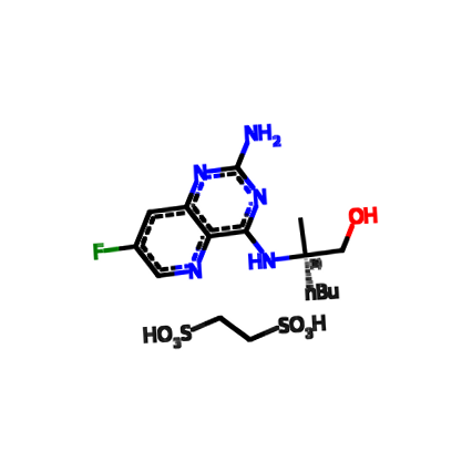 CCCC[C@](C)(CO)Nc1nc(N)nc2cc(F)cnc12.O=S(=O)(O)CCS(=O)(=O)O